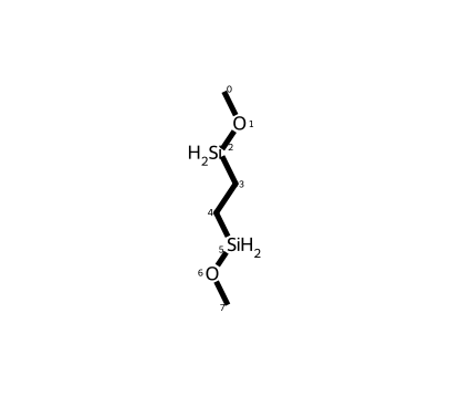 CO[SiH2]CC[SiH2]OC